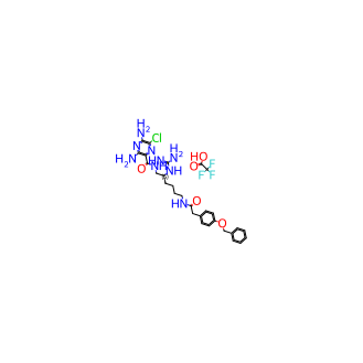 N=C(N)N[C@@H](CCCCNC(=O)Cc1ccc(OCc2ccccc2)cc1)CNC(=O)c1nc(Cl)c(N)nc1N.O=C(O)C(F)(F)F